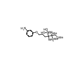 COCC(OC)(OC)C(N)(CCCOc1cccc(N)c1)[Si](O)(O)O